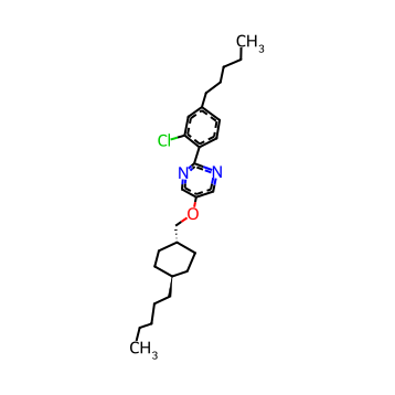 CCCCCc1ccc(-c2ncc(OC[C@H]3CC[C@H](CCCCC)CC3)cn2)c(Cl)c1